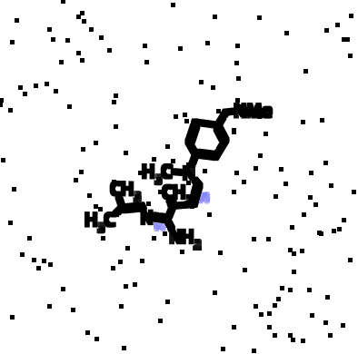 C=C(/C=C\N(C)c1ccc(CNC)cc1)/C(N)=N\C=C(C)C